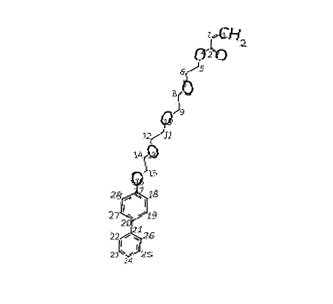 C=CC(=O)OCCOCCOCCOCCOc1ccc(-c2ccccc2)cc1